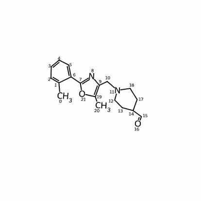 Cc1ccccc1-c1nc(CN2CCC(C=O)CC2)c(C)o1